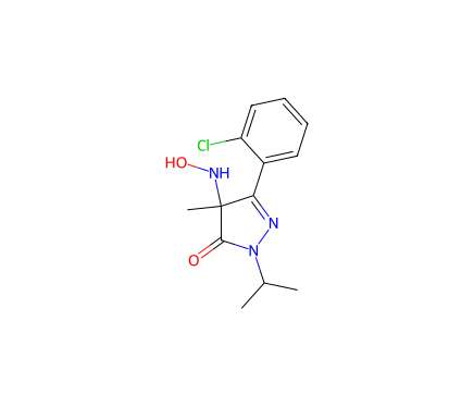 CC(C)N1N=C(c2ccccc2Cl)C(C)(NO)C1=O